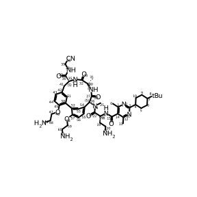 Cc1nc(C2CCC(C(C)(C)C)CC2)nc(C)c1C(=O)N[C@@H](CCN)C(=O)N(C)[C@@H]1C(=O)N[C@@H](C)C(=O)N[C@H](C(=O)NCC#N)Cc2ccc(OCCN)c(c2)-c2cc1ccc2OCCN